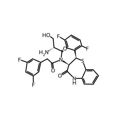 N[C@H](CO)C(=O)N(C(=O)Cc1cc(F)cc(F)c1)[C@@H]1C(=O)Nc2ccccc2S[C@@H]1c1cc(F)ccc1F